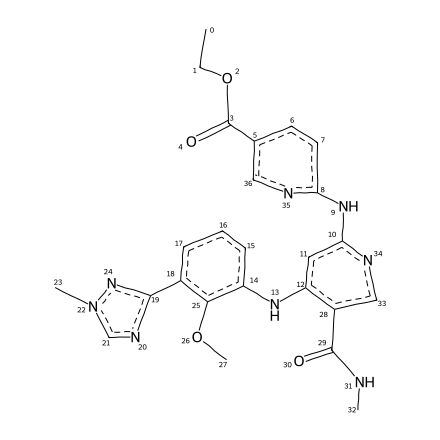 CCOC(=O)c1ccc(Nc2cc(Nc3cccc(-c4ncn(C)n4)c3OC)c(C(=O)NC)cn2)nc1